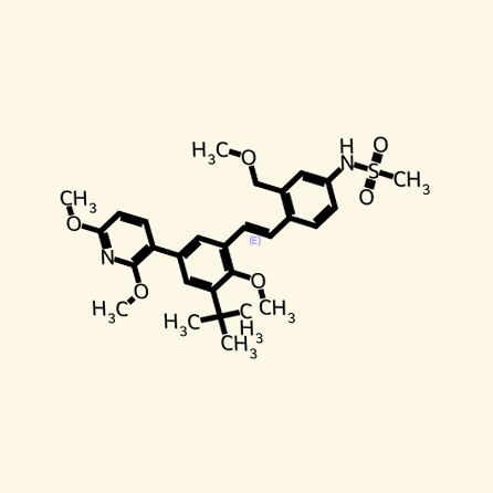 COCc1cc(NS(C)(=O)=O)ccc1/C=C/c1cc(-c2ccc(OC)nc2OC)cc(C(C)(C)C)c1OC